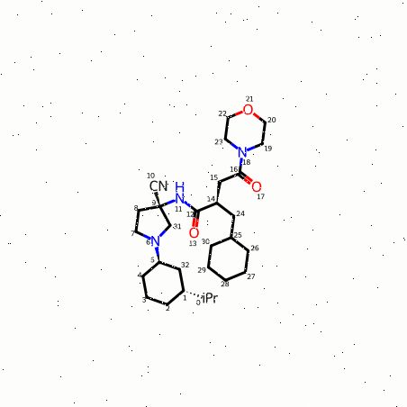 CC(C)[C@@H]1CCC[C@@H](N2CC[C@](C#N)(NC(=O)[C@@H](CC(=O)N3CCOCC3)CC3CCCCC3)C2)C1